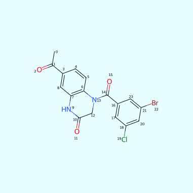 CC(=O)c1ccc2c(c1)NC(=O)CN2C(=O)c1cc(Cl)cc(Br)c1